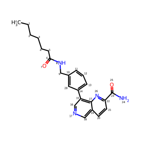 CCCCCCC(=O)NCc1cccc(-c2cncc3ccc(C(N)=O)nc23)c1